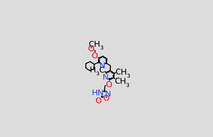 COCOc1ccc(Cc2c(C)nc(OCc3noc(=O)[nH]3)c(C)c2C)nc1C1CCCCC1